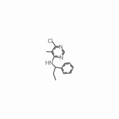 CCC(Nc1ncnc(Cl)c1C)c1ccccc1